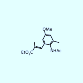 CCOC(=O)C(C)=Cc1cc(OC)cc(C)c1NC(C)=O